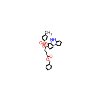 Cc1ccc(S(=O)(=O)OC(CCCC(=O)OCc2ccccc2)c2ccc(-c3ccccc3)c(N)c2)cc1